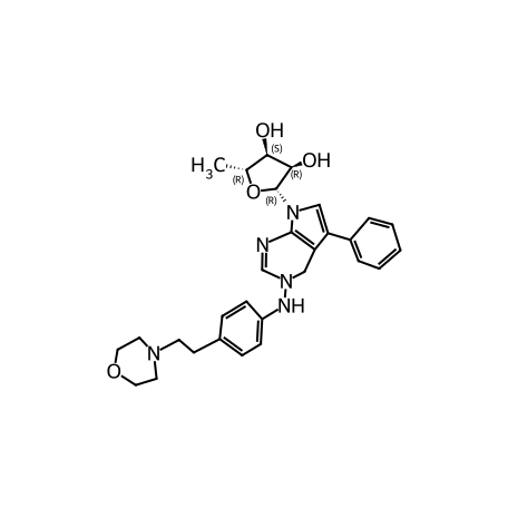 C[C@H]1O[C@@H](n2cc(-c3ccccc3)c3c2N=CN(Nc2ccc(CCN4CCOCC4)cc2)C3)[C@H](O)[C@@H]1O